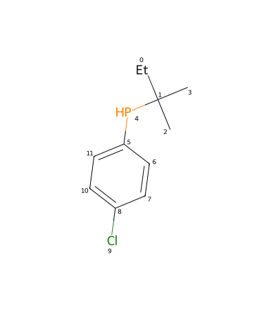 CCC(C)(C)Pc1ccc(Cl)cc1